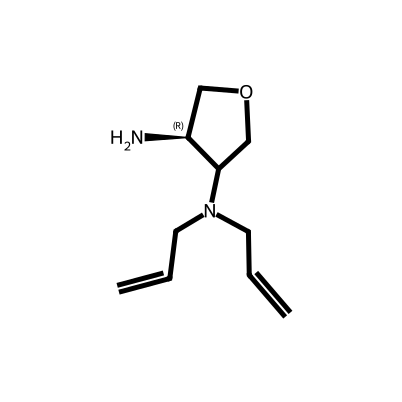 C=CCN(CC=C)C1COC[C@@H]1N